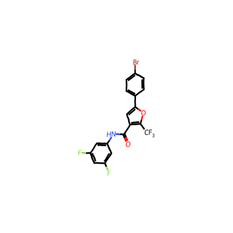 O=C(Nc1cc(F)cc(F)c1)c1cc(-c2ccc(Br)cc2)oc1C(F)(F)F